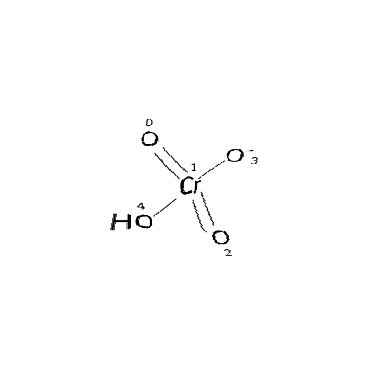 [O]=[Cr](=[O])([O-])[OH]